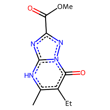 CCc1c(C)[nH]c2nc(C(=O)OC)nn2c1=O